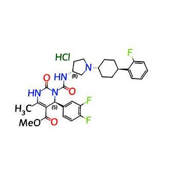 COC(=O)C1=C(C)NC(=O)N(C(=O)N[C@@H]2CCN([C@H]3CC[C@H](c4ccccc4F)CC3)C2)[C@H]1c1ccc(F)c(F)c1.Cl